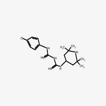 CC1(C)CC(NC(=N)NC(=N)Nc2ccc(Cl)cc2)CC(C)(C)N1